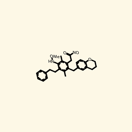 CONc1c(C)c(CC(=O)N=O)c(Cc2ccc3c(c2)CCCO3)c(C)c1CCc1ccccc1